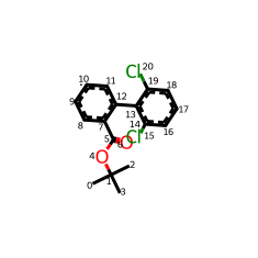 CC(C)(C)OC(=O)c1cc[c]cc1-c1c(Cl)cccc1Cl